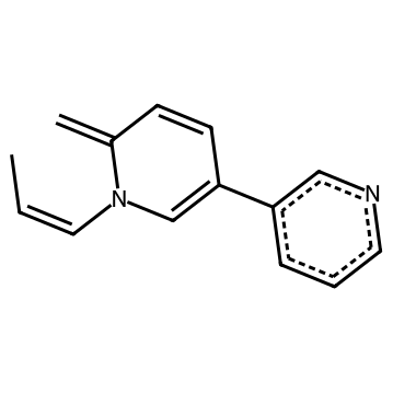 C=C1C=CC(c2cccnc2)=CN1/C=C\C